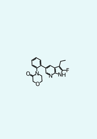 CCc1c(F)[nH]c2ncc(-c3ccccc3N3CCOCC3=O)cc12